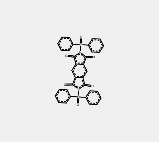 O=c1c2cc3c(=O)n(P(=O)(c4ccccc4)c4ccccc4)c(=O)c3cc2c(=O)n1P(=O)(c1ccccc1)c1ccccc1